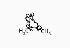 CC(=O)OC[C@H]1CCOC(=O)N1CCCc1sc(C)cc1Br